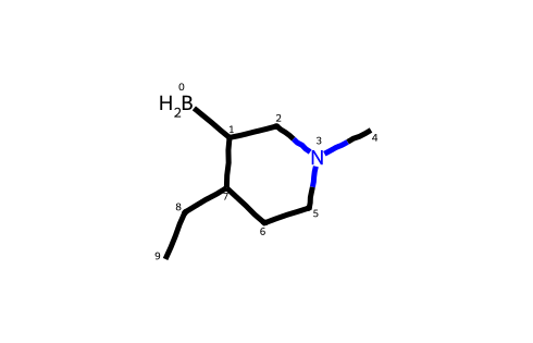 BC1CN(C)CCC1CC